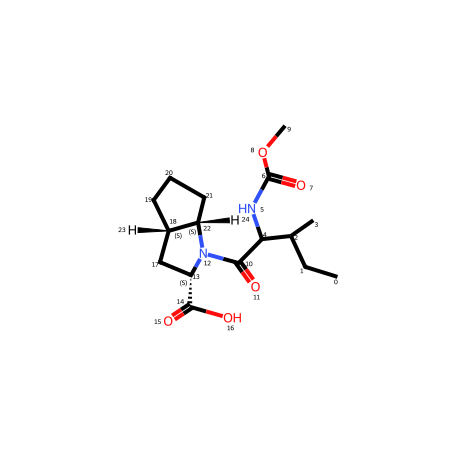 CCC(C)C(NC(=O)OC)C(=O)N1[C@H](C(=O)O)C[C@@H]2CCC[C@@H]21